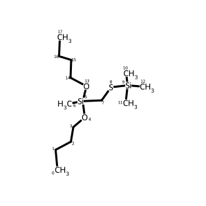 CCCCO[Si](C)(CS[Si](C)(C)C)OCCCC